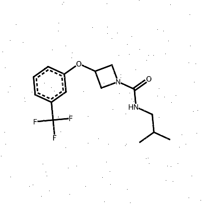 CC(C)CNC(=O)N1CC(Oc2cccc(C(F)(F)F)c2)C1